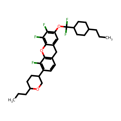 CCCC1CCC(C(F)(F)Oc2cc3c(c(F)c2F)Oc2c(ccc(C4CCC(CCC)OC4)c2F)C3)CC1